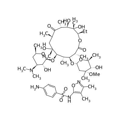 CC[C@H]1OC(=O)[C@H](C)[C@@H](O[C@H]2C[C@@](C)(OC)[C@@H](O)[C@H](C)O2)[C@H](C)[C@@H](O[C@@H]2O[C@H](C)C[C@H](N(C)C)[C@H]2O)[C@](C)(O)C[C@@H](C)C(=O)[C@H](C)[C@@H](O)[C@]1(C)O.Cc1noc(NS(=O)(=O)c2ccc(N)cc2)c1C